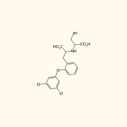 CC(C)CC(NC(Cc1ccccc1Oc1cc(Cl)cc(Cl)c1)C(=O)O)C(=O)O